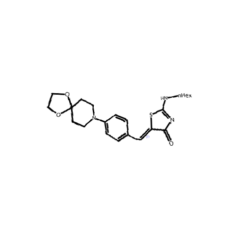 CCCCCCNC1=NC(=O)/C(=C/c2ccc(N3CCC4(CC3)OCCO4)cc2)S1